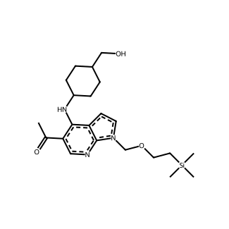 CC(=O)c1cnc2c(ccn2COCC[Si](C)(C)C)c1NC1CCC(CO)CC1